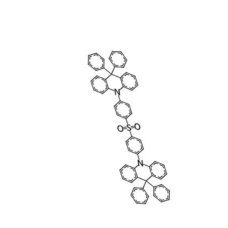 O=S(=O)(c1ccc(N2c3ccccc3C(c3ccccc3)(c3ccccc3)c3ccccc32)cc1)c1ccc(N2c3ccccc3C(c3ccccc3)(c3ccccc3)c3ccccc32)cc1